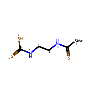 CSC(=S)NCCNC(=S)S